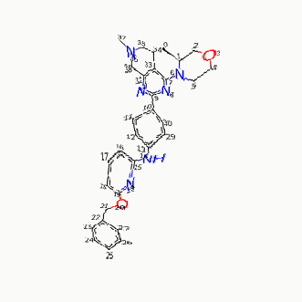 C[C@H]1COCCN1c1nc(-c2ccc(Nc3cccc(OCc4ccccc4)n3)cc2)nc2c1CCN(C)C2